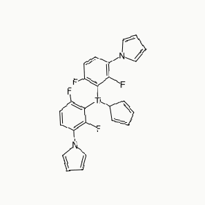 Fc1ccc(-n2cccc2)c(F)[c]1[Ti]([c]1c(F)ccc(-n2cccc2)c1F)[CH]1C=CC=C1